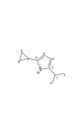 CC(C)c1ccc(C2CC2)s1